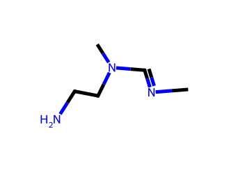 C/N=C/N(C)CCN